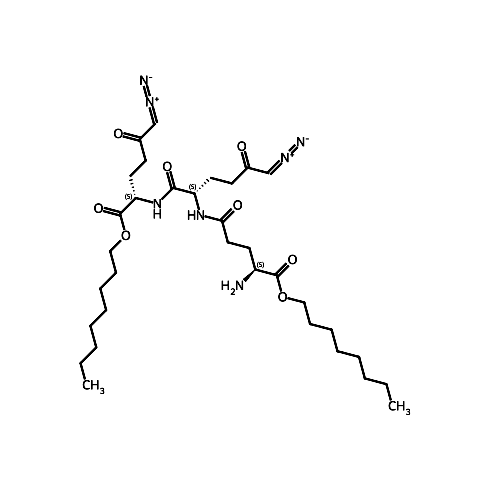 CCCCCCCCOC(=O)[C@H](CCC(=O)C=[N+]=[N-])NC(=O)[C@H](CCC(=O)C=[N+]=[N-])NC(=O)CC[C@H](N)C(=O)OCCCCCCCC